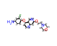 NC1C=C(F)C(Oc2ccnc3cc(OCCN4CCOCC4)ncc23)=CC1